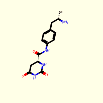 CC(=O)[C@H](N)Cc1ccc(NC(=O)[C@H]2CC(=O)NC(=O)N2)cc1